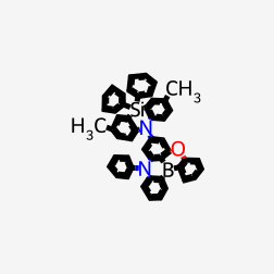 Cc1ccc2c(c1)[Si](c1ccccc1)(c1ccccc1)c1cc(C)ccc1N2c1cc2c3c(c1)N(c1ccccc1)c1ccccc1B3c1ccccc1O2